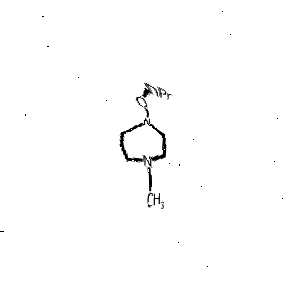 CCCON1CCN(C)CC1